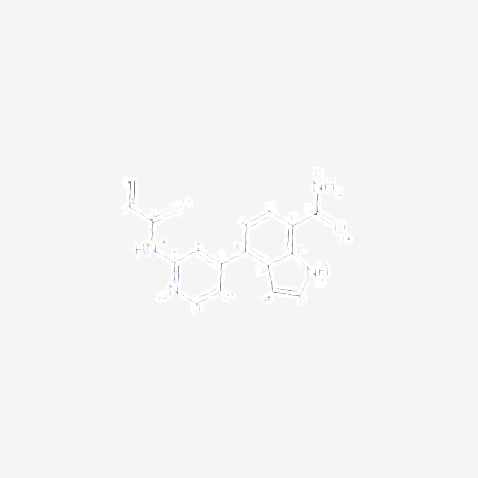 C=CC(=O)Nc1cc(-c2ccc(C(N)=O)c3[nH]ccc23)ccn1